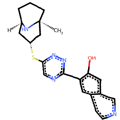 C[C@]12CCC[C@H](C[C@@H](Sc3cnc(-c4cc5ccncc5cc4O)nn3)C1)N2